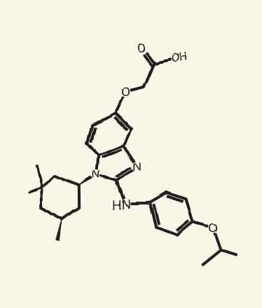 CC(C)Oc1ccc(Nc2nc3cc(OCC(=O)O)ccc3n2[C@H]2C[C@@H](C)CC(C)(C)C2)cc1